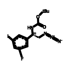 CC(C)(C)OC(=O)N[C@H](CN=[N+]=[N-])c1cc(F)cc(I)c1